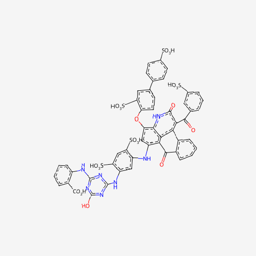 O=C(O)c1ccccc1Nc1nc(O)nc(Nc2cc(Nc3cc(Oc4ccc(-c5ccc(S(=O)(=O)O)cc5)cc4S(=O)(=O)O)c4[nH]c(=O)c(C(=O)c5cccc(S(=O)(=O)O)c5)c5c4c3C(=O)c3ccccc3-5)c(S(=O)(=O)O)cc2S(=O)(=O)O)n1